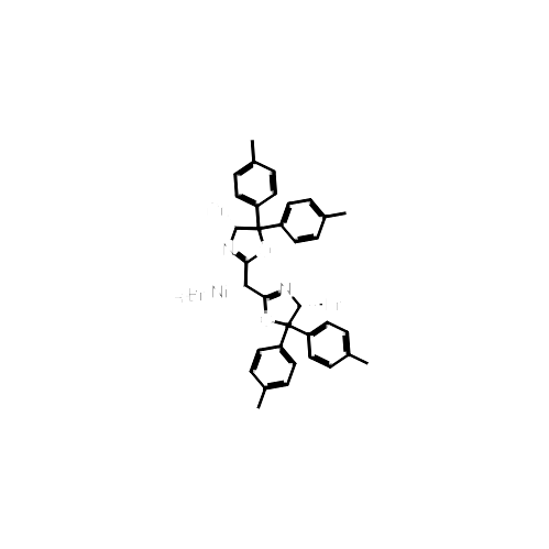 Cc1ccc(C2(c3ccc(C)cc3)OC(CC3=N[C@H](C(C)C)C(c4ccc(C)cc4)(c4ccc(C)cc4)O3)=N[C@@H]2C(C)C)cc1.[Br-].[Br-].[Ni+2]